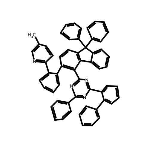 Cc1ccc(-c2ccccc2-c2ccc3c(c2-c2nc(-c4ccccc4)nc(-c4ccccc4-c4ccccc4)n2)-c2ccccc2C3(c2ccccc2)c2ccccc2)nc1